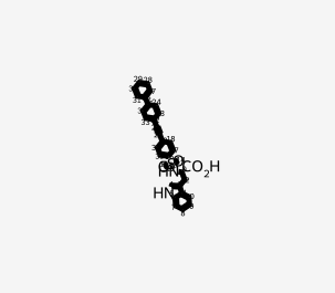 O=C(O)[C@@H](Cc1c[nH]c2ccccc12)NS(=O)(=O)c1ccc(C#Cc2ccc(-c3ccccc3)cc2)cc1